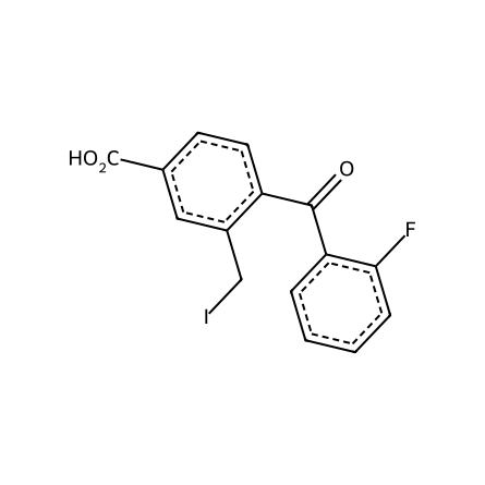 O=C(O)c1ccc(C(=O)c2ccccc2F)c(CI)c1